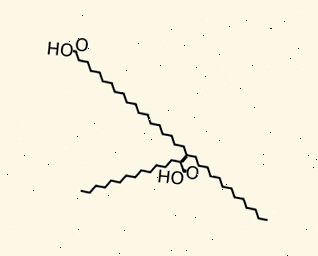 CCCCCCCCCCCCCC(CCCCCCCCCCCCCCCCCCC(=O)O)=C(CCCCCCCCCCCCC)C(=O)O